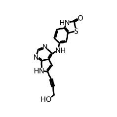 O=c1[nH]c2ccc(Nc3ncnc4[nH]c(C#CCO)cc34)cc2s1